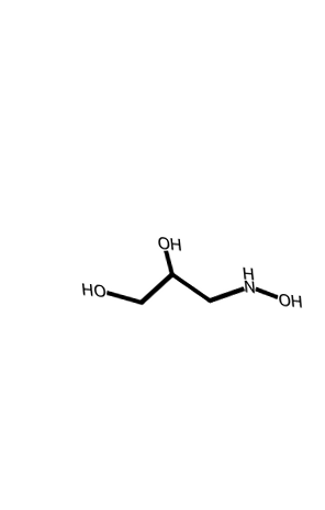 OCC(O)CNO